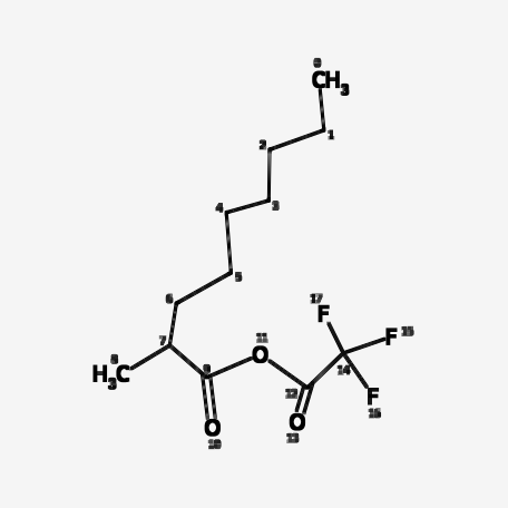 CCCCCCCC(C)C(=O)OC(=O)C(F)(F)F